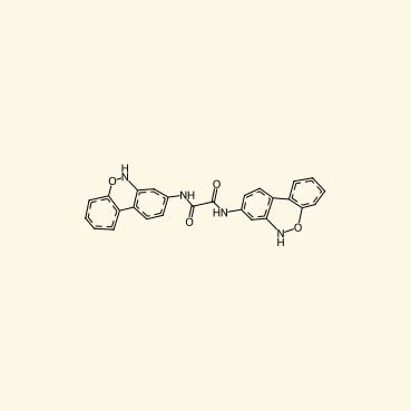 O=C(Nc1ccc2c(c1)NOc1ccccc1-2)C(=O)Nc1ccc2c(c1)NOc1ccccc1-2